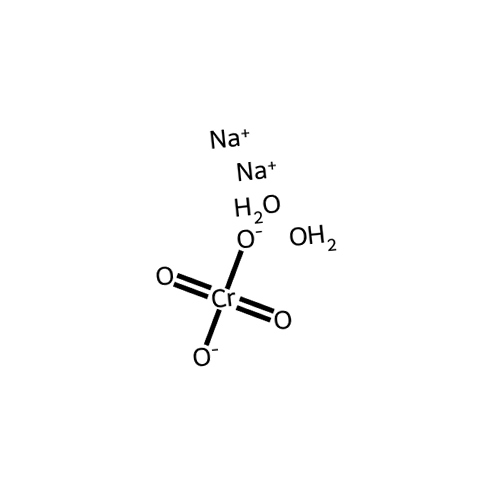 O.O.[Na+].[Na+].[O]=[Cr](=[O])([O-])[O-]